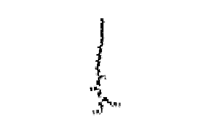 CCCCCCCCCCCCCCCCNC(=O)CCNCCN(CCO)CCO